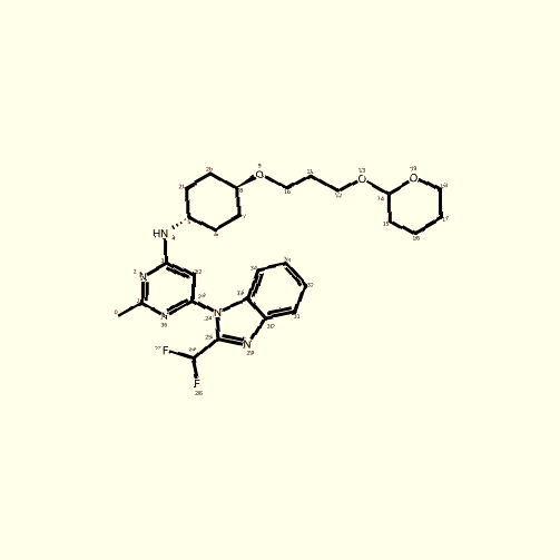 Cc1nc(N[C@H]2CC[C@H](OCCCOC3CCCCO3)CC2)cc(-n2c(C(F)F)nc3ccccc32)n1